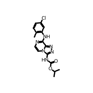 Cc1ccc(Cl)cc1Nc1nccn2c(NC(=O)OC(C)C)nnc12